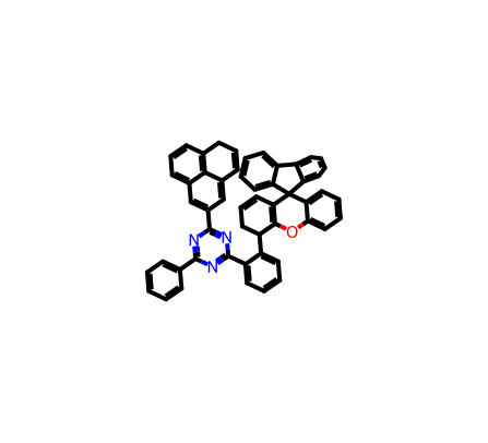 C1=Cc2cc(-c3nc(-c4ccccc4)nc(-c4ccccc4C4CC=CC5=C4Oc4ccccc4C54c5ccccc5-c5ccccc54)n3)cc3cccc(c23)C1